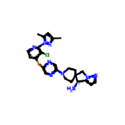 Cc1cc(C)n(-c2nccc(Sc3cnc(N4CCC5(CC4)Cn4nccc4[C@H]5N)cn3)c2Cl)n1